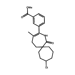 CCC1CCCC2(CCC(C)=C(c3cccc(C(=O)OC)c3)NC2=O)CC1